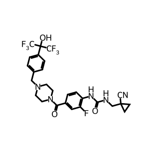 N#CC1(CNC(=O)Nc2ccc(C(=O)N3CCN(Cc4ccc(C(O)(C(F)(F)F)C(F)(F)F)cc4)CC3)cc2F)CC1